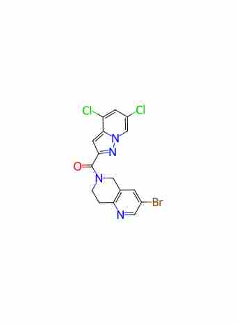 O=C(c1cc2c(Cl)cc(Cl)cn2n1)N1CCc2ncc(Br)cc2C1